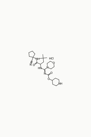 CC(C)(C)CC(NC(=NC(=O)OC1CCNCC1)N1CCOCC1)C(=O)NC1(C#N)CCCC1.Cl